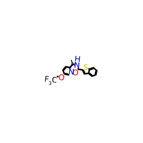 C[C@@H](NC(=O)c1cc2ccccc2s1)c1ccc(OCC(F)(F)F)cn1